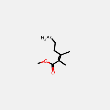 COC(=O)C(C)=C(C)CC[AsH2]